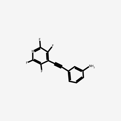 Nc1cccc(C#Cc2c(F)c(F)nc(F)c2F)c1